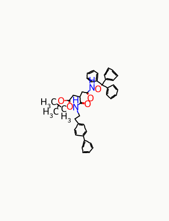 CC(C)(C)OC(=O)CC(CC(=O)NOC(c1ccccc1)(c1ccccc1)c1ccccc1)C(=O)NCCc1ccc(-c2ccccc2)cc1